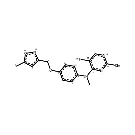 Cc1cc(COc2ccc(N(C)c3nc(Cl)ncc3F)cc2)no1